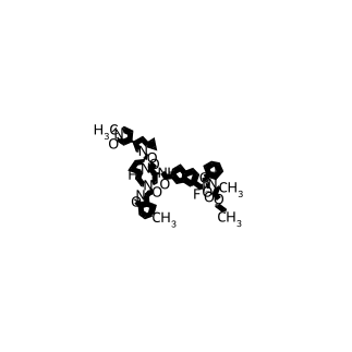 CCCOC(=O)[C@H](C)NP(=O)(Oc1ccccc1)[C@@H](F)c1ccc2ccc(C(=O)N[C@H]3CN(C(=O)c4noc5ccc(C)cc45)CC[C@H]4CC[C@@H](C(=O)N5C[C@@H](c6ccn(C)c(=O)c6)CC56CC6)N4C3=O)cc2c1